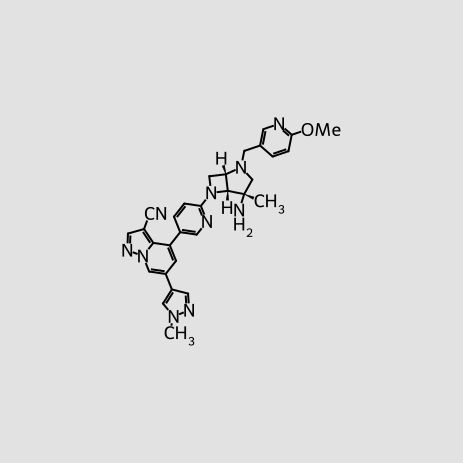 COc1ccc(CN2C[C@](C)(N)[C@H]3[C@@H]2CN3c2ccc(-c3cc(-c4cnn(C)c4)cn4ncc(C#N)c34)cn2)cn1